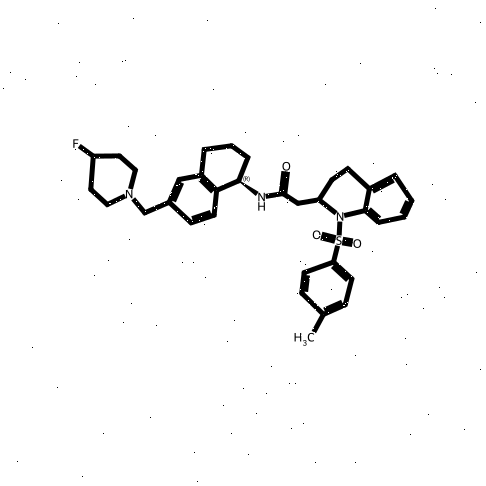 Cc1ccc(S(=O)(=O)N2c3ccccc3CCC2CC(=O)N[C@@H]2CCCc3cc(CN4CCC(F)CC4)ccc32)cc1